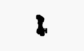 CC(C)(C)C1CCCC(C(C)(C)CCC(C)(C)C2CCCN(C(C)(C)C)C2)N1